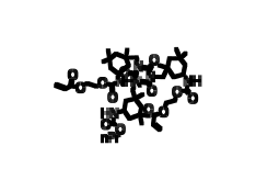 C=CC(=O)OCCOC(=O)NC1CC(C)(C)CC(C)(Cn2c(=O)n(CC3(C)CC(NC(=O)OCCC)CC(C)(C)C3)c(=O)n(CC3(C)CC(NC(=O)OCCOC(=O)C=C)CC(C)(C)C3)c2=O)C1